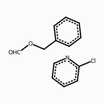 Clc1ccccn1.O=COCc1ccccc1